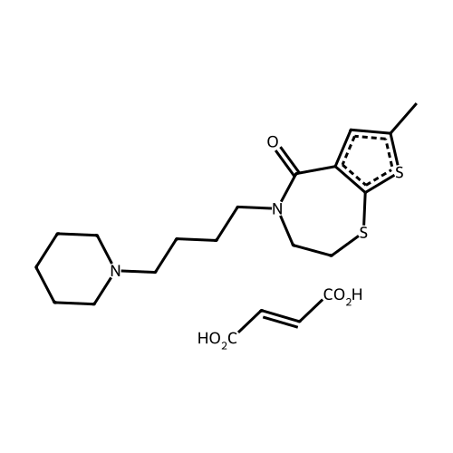 Cc1cc2c(s1)SCCN(CCCCN1CCCCC1)C2=O.O=C(O)C=CC(=O)O